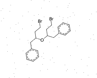 BrCCC(Cc1ccccc1)OC(CCBr)Cc1ccccc1